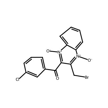 O=C(c1cccc(Cl)c1)c1c(CBr)[n+]([O-])c2ccccc2[n+]1[O-]